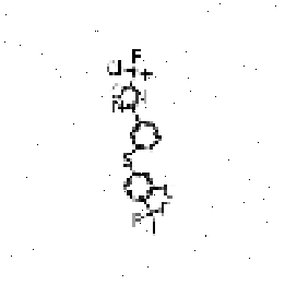 FC(F)(F)c1ccc(Sc2[c]ccc(-c3noc(C(F)(F)Cl)n3)c2)cc1Cl